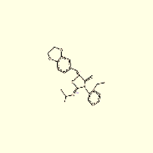 CCc1ccccc1N1C(=O)/C(=C/c2ccc3c(c2)OCCO3)S/C1=N\C(C)C